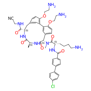 C[C@@H]1NC(=O)[C@@H](N(C)C(=O)[C@H](CCCCN)NC(=O)c2ccc(-c3ccc(Cl)cc3)cc2)c2ccc(OCCN)c(c2)-c2cc(ccc2OCCN)C[C@@H](C(=O)NCC#N)NC1=O